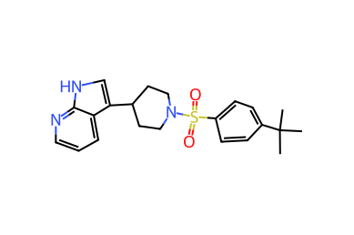 CC(C)(C)c1ccc(S(=O)(=O)N2CCC(c3c[nH]c4ncccc34)CC2)cc1